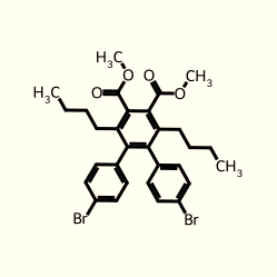 CCCCc1c(C(=O)OC)c(C(=O)OC)c(CCCC)c(-c2ccc(Br)cc2)c1-c1ccc(Br)cc1